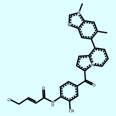 Cc1cc2c(cc1-c1cccn3c(C(=O)c4ccc(NC(=O)/C=C/CCl)c(C#N)c4)ccc13)ncn2C